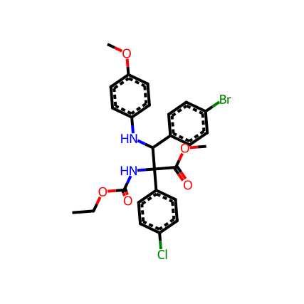 CCOC(=O)NC(C(=O)OC)(c1ccc(Cl)cc1)C(Nc1ccc(OC)cc1)c1ccc(Br)cc1